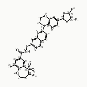 O=C(NCc1cc2nc(N3CCOc4cc(N5C[C@@H](F)[C@H](F)C5)cnc43)ccc2cn1)c1cc(Cl)c2c(c1)S(=O)(=O)C(F)CCO2